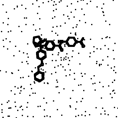 CC(=O)N1CCC(NC(=O)c2ccc([C@]3(c4ccc(OCc5ccccn5)cc4)CC4CC[C@@H]3C4)cc2)CC1